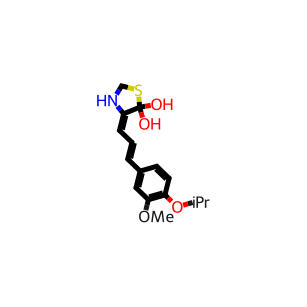 COc1cc(C=CC=C2NCSC2(O)O)ccc1OC(C)C